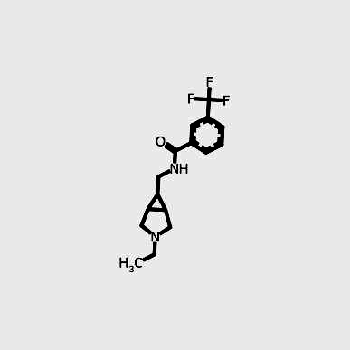 CCN1CC2C(CNC(=O)c3cccc(C(F)(F)F)c3)C2C1